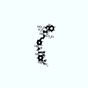 CCOC(=O)[C@H](CCc1ccc(NC(=O)C[C@H]2Nc3cc(Cl)c(S(N)(=O)=O)cc3S(=O)(=O)N2)cc1)NC(C)C(=O)N1[C@@H]2CCCC[C@@H]2C[C@H]1C(=O)O